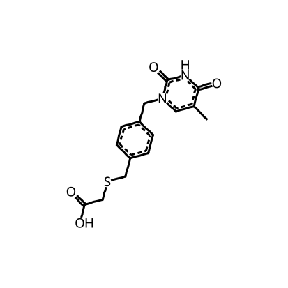 Cc1cn(Cc2ccc(CSCC(=O)O)cc2)c(=O)[nH]c1=O